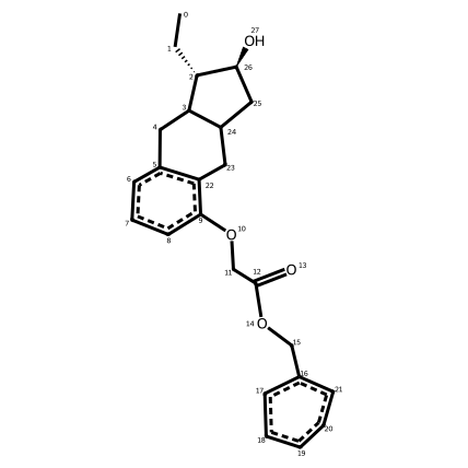 CC[C@H]1C2Cc3cccc(OCC(=O)OCc4ccccc4)c3CC2C[C@@H]1O